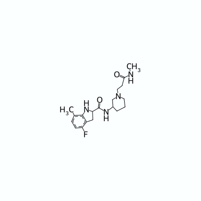 CNC(=O)CCN1CCCC(NC(=O)C2Cc3c(F)ccc(C)c3N2)C1